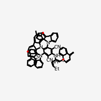 C=C(/C=C\C/C=C(/C=C\CC)Nc1c(C#N)c(-n2c3ccccc3c3ccccc32)c(-n2c3cc(C)c(C)cc3c3ccc4c5ccccc5sc4c32)c(-n2c3ccccc3c3ccccc32)c1C#N)c1ccccc1SC(C)C